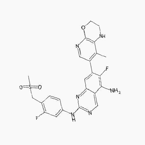 Cc1c(-c2cc3nc(Nc4ccc(CS(C)(=O)=O)c(F)c4)ncc3c(N)c2F)cnc2c1NCCO2